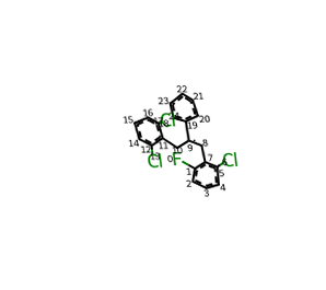 Fc1cccc(Cl)c1C[C](Cc1c(Cl)cccc1Cl)c1ccccc1